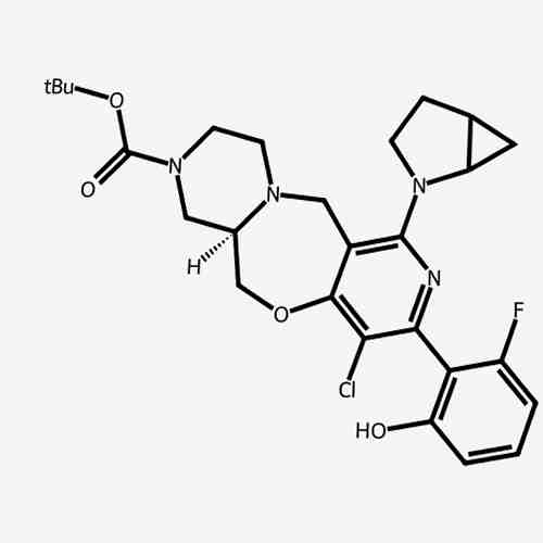 CC(C)(C)OC(=O)N1CCN2Cc3c(N4CCC5CC54)nc(-c4c(O)cccc4F)c(Cl)c3OC[C@H]2C1